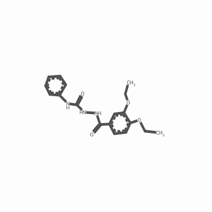 CCOc1ccc(C(=O)NNC(=O)Nc2ccccc2)cc1OCC